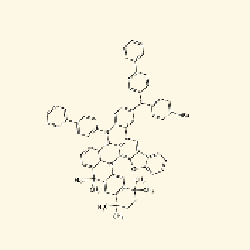 CC(C)(C)c1ccc(N(c2ccc(-c3ccccc3)cc2)c2ccc3c(c2)-c2cc4c(oc5ccccc54)c4c2B(c2cccc5c2N4c2cc4c(cc2C5(C)C)C(C)(C)CCC4(C)C)N3c2ccc(-c3ccccc3)cc2)cc1